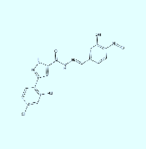 O=Nc1ccc(/C=N/NC(=O)c2cc(-c3ccc(Cl)cc3Cl)n[nH]2)cc1O